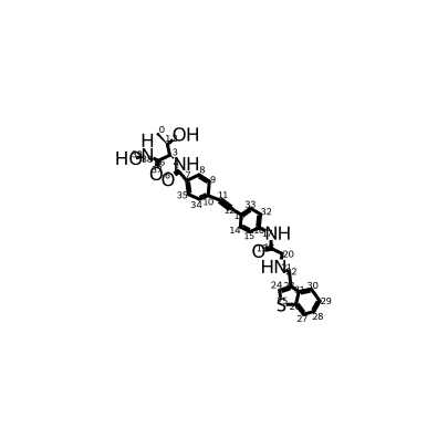 C[C@@H](O)[C@H](NC(=O)c1ccc(C#Cc2ccc(NC(=O)CNCc3csc4ccccc34)cc2)cc1)C(=O)NO